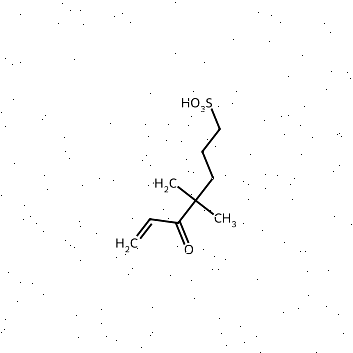 [CH2]C(C)(CCCS(=O)(=O)O)C(=O)C=C